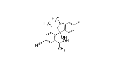 CCC(NC)C(O)(c1ccc(F)cc1)c1ccc(C#N)cc1C(C)O